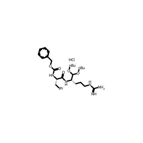 CCCCOC(OCCCC)[C@H](CCCNC(=N)N)NC(=O)[C@H](CC(C)C)NC(=O)OCc1ccccc1.Cl